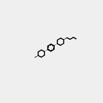 CCCC[C@H]1CC[C@H](c2ccc([C@H]3CC[C@H](C)CC3)cc2)CC1